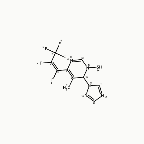 CC1=C(/C(F)=C(/F)C(F)(F)F)N=CN(S)C1n1cncn1